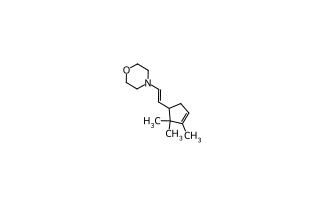 CC1=CCC(/C=C/N2CCOCC2)C1(C)C